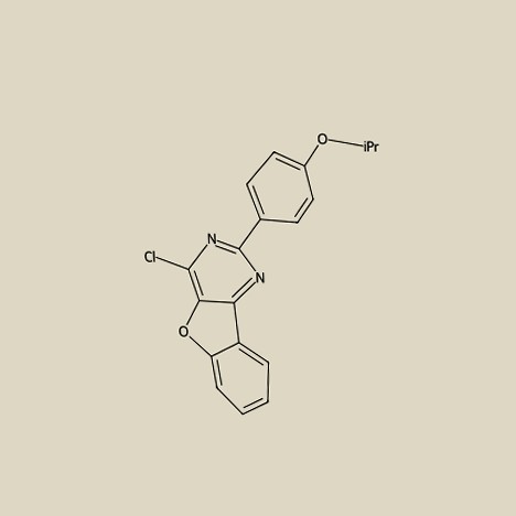 CC(C)Oc1ccc(-c2nc(Cl)c3oc4ccccc4c3n2)cc1